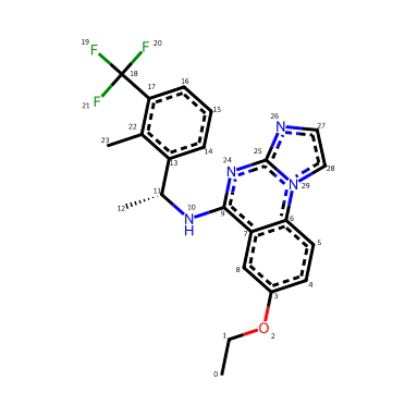 CCOc1ccc2c(c1)c(N[C@H](C)c1cccc(C(F)(F)F)c1C)nc1nccn12